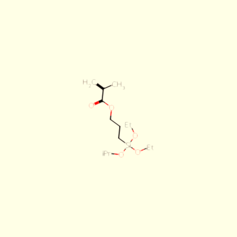 C=C(C)C(=O)OCCC[Si](OCC)(OCC)OC(C)C